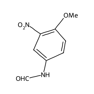 COc1ccc(NC=O)cc1[N+](=O)[O-]